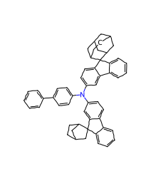 c1ccc(-c2ccc(N(c3ccc4c(c3)-c3ccccc3C43C4CCC5CC(C4)CC3C5)c3ccc4c(c3)C3(CC5CCC3C5)c3ccccc3-4)cc2)cc1